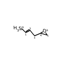 [SiH3]C=CCC1CO1